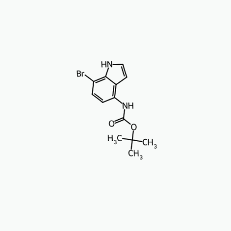 CC(C)(C)OC(=O)Nc1ccc(Br)c2[nH]ccc12